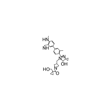 CNc1ccc(-c2ccc(C3=NC4(CC4)C(O)N3CC3CN(C(=O)C4(CO)CC4)C3)c(C)c2)cc1C=N